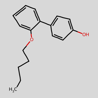 CCCCCOc1ccccc1-c1ccc(O)cc1